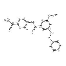 CCCOc1cc(OCc2ccccc2)cc(C(=O)Nc2ccc(C(=O)OC)cn2)c1